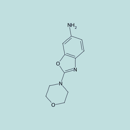 Nc1ccc2nc(N3CCOCC3)oc2c1